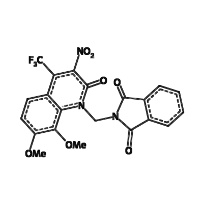 COc1ccc2c(C(F)(F)F)c([N+](=O)[O-])c(=O)n(CN3C(=O)c4ccccc4C3=O)c2c1OC